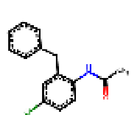 O=C(Nc1ccc(Cl)cc1Cc1ccccc1)C(F)(F)F